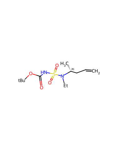 C=CC[C@@H](C)N(CC)S(=O)(=O)NC(=O)OC(C)(C)C